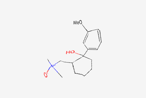 COc1cccc(C2(O)CCCCC2C[N+](C)(C)[O-])c1